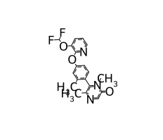 Cc1cc(Oc2ncccc2OC(F)F)ccc1-c1c(C)ncc(=O)n1C